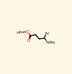 CCCOC(=O)CCC(NC)C(C)=O